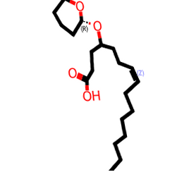 CCCCCCC/C=C\CCC(CCC(=O)O)O[C@@H]1CCCCO1